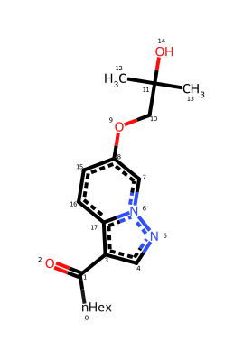 CCCCCCC(=O)c1cnn2cc(OCC(C)(C)O)ccc12